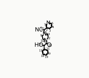 N#CC(c1cccnc1)N1CCN(C(=O)C(O)c2ccccc2)CC1